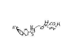 CCOc1ccc(-c2nc(CC(=O)N[C@@H](CC(C)C)C(=O)O)cs2)cc1